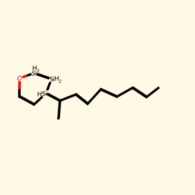 CCCCCCCC(C)[SiH]1CCO[SiH2][SiH2]1